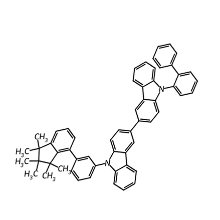 CC1(C)c2cccc(-c3cccc(-n4c5ccccc5c5cc(-c6ccc7c(c6)c6ccccc6n7-c6ccccc6-c6ccccc6)ccc54)c3)c2C(C)(C)C1(C)C